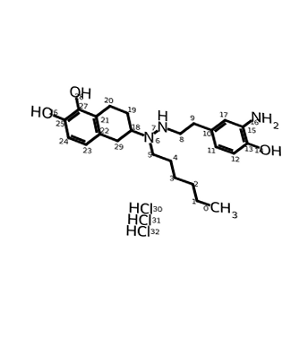 CCCCCCN(NCCc1ccc(O)c(N)c1)C1CCc2c(ccc(O)c2O)C1.Cl.Cl.Cl